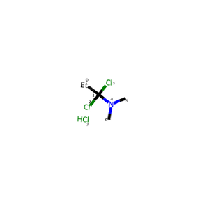 CCC(Cl)(Cl)N(C)C.Cl